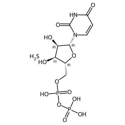 O=c1ccn([C@@H]2O[C@H](COP(=O)(O)OP(=O)(O)O)[C@@H](O)[C@H]2O)c(=O)[nH]1.S